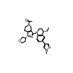 CC[C@@H]1CCN(c2nn([C@@H]3CCOC3)c3c2CN(C(C)=O)CC3)c2ccc(-c3cnn(C)c3)cc21